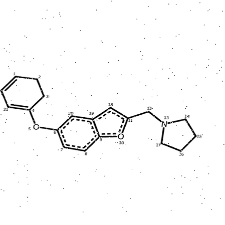 C1=CCCC(Oc2ccc3oc(CN4CCCC4)cc3c2)=C1